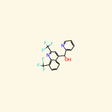 O[C@H](c1ccccn1)c1cc(C(F)(F)F)nc2c(C(F)(F)F)cccc12